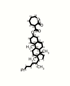 CC(C)CCC[C@@H](C)[C@H]1CCC2(C)C3CC=C4CC(OC(=O)C5CCCCOC5=O)CC[C@]4(C)C3CC[C@]12C